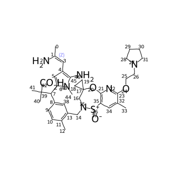 C/C(N)=C/c1cc(C(c2ccc(C)c(CN3CC4(CC4)Oc4nc(OCCN5CCCC5)c(C)cc4[S+]3[O-])c2)C(C)(C)C(=O)O)n(C)c1N